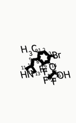 Cc1cc(Br)cc(F)c1C=C1CNC1.O=C(O)C(F)(F)F